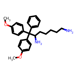 COc1ccc(C(c2ccccc2)(c2ccc(OC)cc2)C(N)CCCCCN)cc1